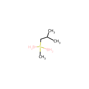 BS(B)(C)CC(C)C